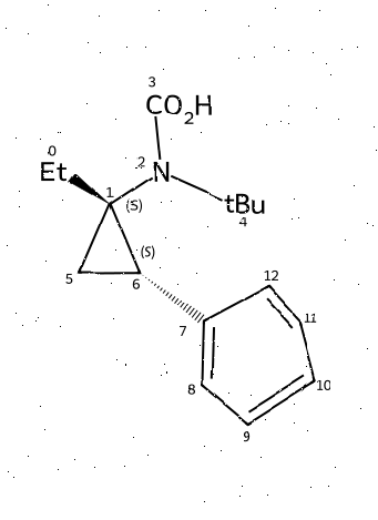 CC[C@]1(N(C(=O)O)C(C)(C)C)C[C@H]1c1ccccc1